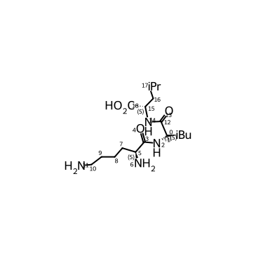 CC[C@H](C)[C@H](NC(=O)[C@@H](N)CCCCN)C(=O)N[C@@H](CC(C)C)C(=O)O